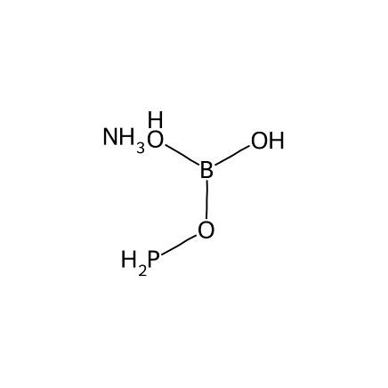 N.OB(O)OP